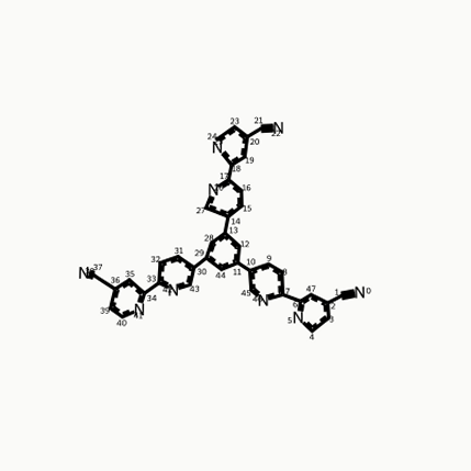 N#Cc1ccnc(-c2ccc(-c3cc(-c4ccc(-c5cc(C#N)ccn5)nc4)cc(-c4ccc(-c5cc(C#N)ccn5)nc4)c3)cn2)c1